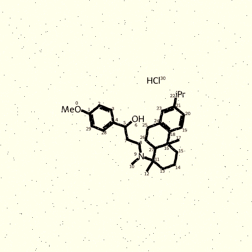 COc1ccc(C(O)CCN(C)C2(C)CCCC3(C)c4ccc(C(C)C)cc4CCC32)cc1.Cl